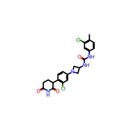 Cc1ccc(NC(=O)NC2CN(c3ccc(C4CCC(=O)NC4=O)c(Cl)c3)C2)cc1Cl